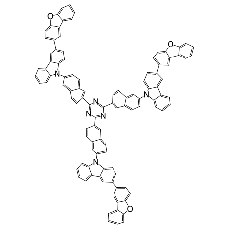 c1ccc2c(c1)oc1ccc(-c3ccc4c(c3)c3ccccc3n4-c3ccc4cc(-c5nc(-c6ccc7cc(-n8c9ccccc9c9cc(-c%10ccc%11oc%12ccccc%12c%11c%10)ccc98)ccc7c6)nc(-c6ccc7cc(-n8c9ccccc9c9cc(-c%10ccc%11oc%12ccccc%12c%11c%10)ccc98)ccc7c6)n5)ccc4c3)cc12